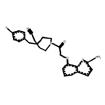 N#CC1(Cc2ccc(F)cc2)CCN(C(=O)COc2cccc3ccc(N)nc23)CC1